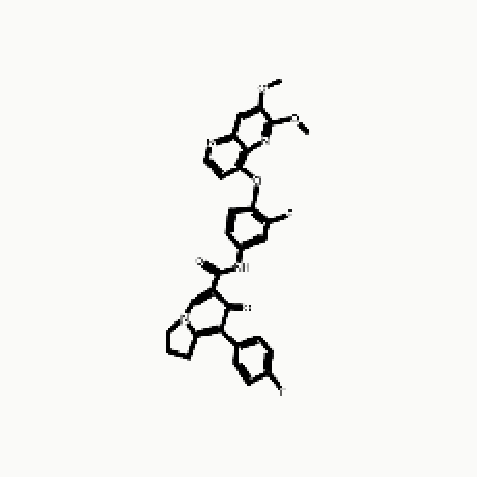 COc1cc2nccc(Oc3ccc(NC(=O)c4cn5c(c(-c6ccc(F)cc6)c4=O)CCC5)cc3F)c2nc1OC